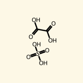 O=C(O)C(=O)O.O=S(=O)(O)O